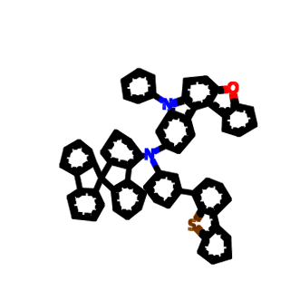 c1ccc(-n2c3cc(N(c4cccc(-c5cccc6c5sc5ccccc56)c4)c4cccc5c4-c4ccccc4C54c5ccccc5-c5ccccc54)ccc3c3c4c(ccc32)oc2ccccc24)cc1